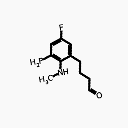 CNc1c(P)cc(F)cc1CCCC=O